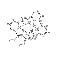 C=CC1=C(/C=C\C)C2(c3ccccc31)c1ccccc1C1(c3ccccc3-c3ccccc31)c1ccccc12